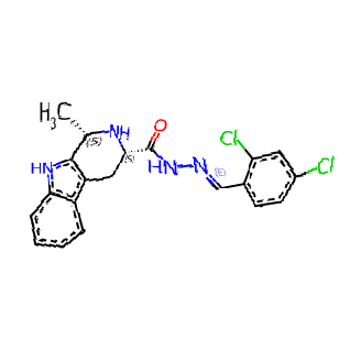 C[C@@H]1N[C@H](C(=O)N/N=C/c2ccc(Cl)cc2Cl)Cc2c1[nH]c1ccccc21